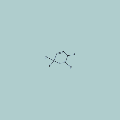 FC1=CC(F)(Cl)C=CC1F